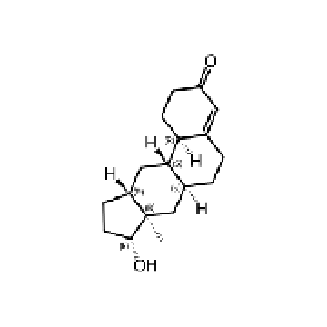 C[C@@]12C[C@@H]3CCC4=CC(=O)CC[C@@H]4[C@H]3C[C@H]1CC[C@H]2O